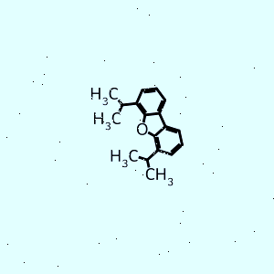 CC(C)c1cccc2c1oc1c(C(C)C)cccc12